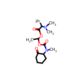 CC(OC(=O)C(C(C)C)N(C)C)OC(=O)N(C)C1CCCCC1=O